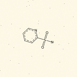 [N]S(=O)(=O)c1ccccn1